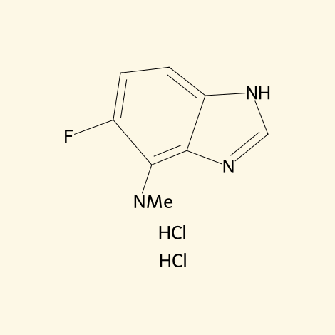 CNc1c(F)ccc2[nH]cnc12.Cl.Cl